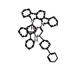 C1=CC(c2ccc(C3C=C(n4c5ccccc5c5ccc6c7ccccc7n(-c7ccc(-c8ccccc8)cc7)c6c54)NC(c4ccccc4)N3)cc2)=CCC1